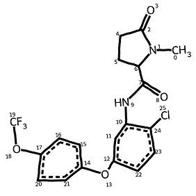 CN1C(=O)CCC1C(=O)Nc1cc(Oc2ccc(OC(F)(F)F)cc2)ccc1Cl